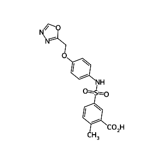 Cc1ccc(S(=O)(=O)Nc2ccc(OCc3nnco3)cc2)cc1C(=O)O